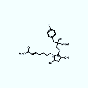 CCCCCC(O)(CS[C@H]1C(O)CC(O)[C@@H]1CCCCC=CC(=O)OC)Cc1ccc(F)cc1